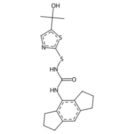 CC(C)(O)c1cnc(SNC(=O)Nc2c3c(cc4c2CCC4)CCC3)s1